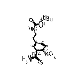 CC(C)(C)OC(=O)NCCc1ccc([N+](=O)[O-])c(C(N)=S)c1